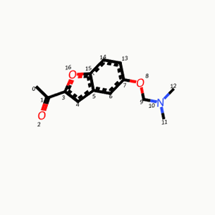 CC(=O)c1cc2cc(OCN(C)C)ccc2o1